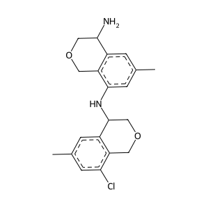 Cc1cc(NC2COCc3c(Cl)cc(C)cc32)c2c(c1)C(N)COC2